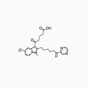 Cn1c(CCCCCNc2cnccn2)c(C(=O)CCCC(=O)O)c2cc(Cl)ccc21